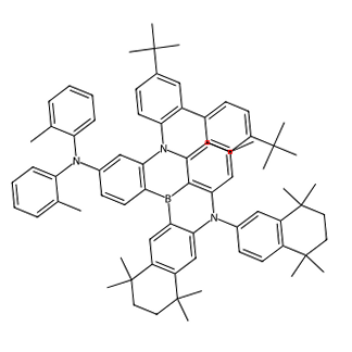 Cc1cc2c3c(c1)N(c1ccc(C(C)(C)C)cc1-c1ccc(C(C)(C)C)cc1)c1cc(N(c4ccccc4C)c4ccccc4C)ccc1B3c1cc3c(cc1N2c1ccc2c(c1)C(C)(C)CCC2(C)C)C(C)(C)CCC3(C)C